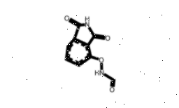 O=CNOc1cccc2c1C(=O)NC2=O